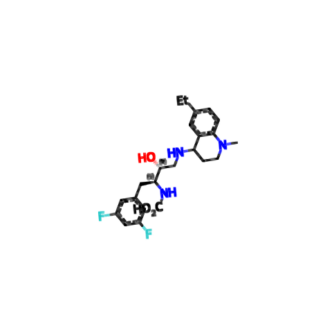 CCc1ccc2c(c1)C(NC[C@@H](O)[C@H](Cc1cc(F)cc(F)c1)NC(=O)O)CCN2C